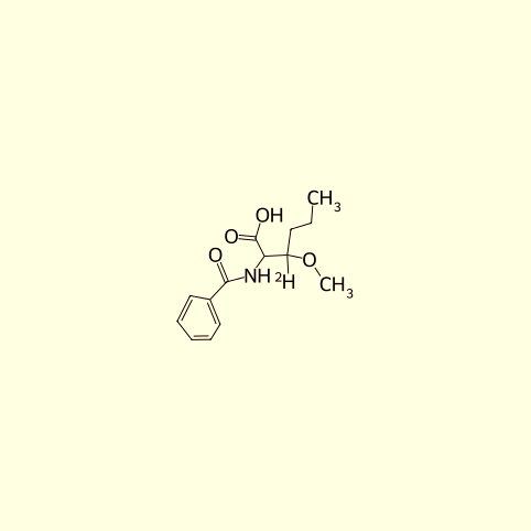 [2H]C(CCC)(OC)C(NC(=O)c1ccccc1)C(=O)O